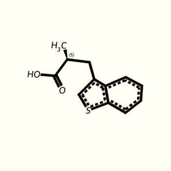 C[C@@H](Cc1csc2ccccc12)C(=O)O